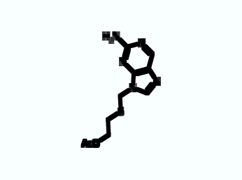 CC(=O)OCCSCn1cnc2cnc(N)nc21